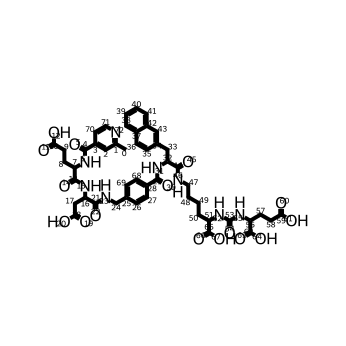 Cc1cc(C(=O)NC(CCC(=O)O)C(=O)NC(CC(=O)O)C(=O)NCc2ccc(C(=O)NC(Cc3ccc4ccccc4c3)C(=O)NCCCCC(NC(=O)NC(CCC(=O)O)C(=O)O)C(=O)O)cc2)ccn1